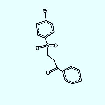 O=C(CCS(=O)(=O)c1ccc(Br)cc1)c1ccccc1